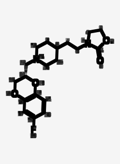 O=C1OCCN1CCC1CCN(C[C@H]2COc3cc(F)ccc3O2)CC1